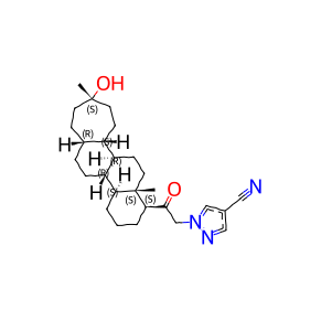 C[C@]1(O)CC[C@H]2CC[C@@H]3[C@H](CC[C@]4(C)[C@@H](C(=O)Cn5cc(C#N)cn5)CCC[C@@H]34)[C@H]2CC1